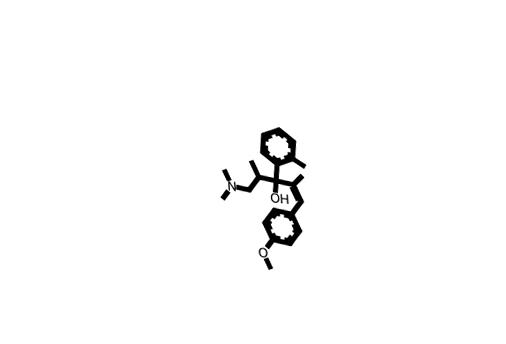 COc1ccc(C=C(C)C(O)(c2ccccc2C)C(C)CN(C)C)cc1